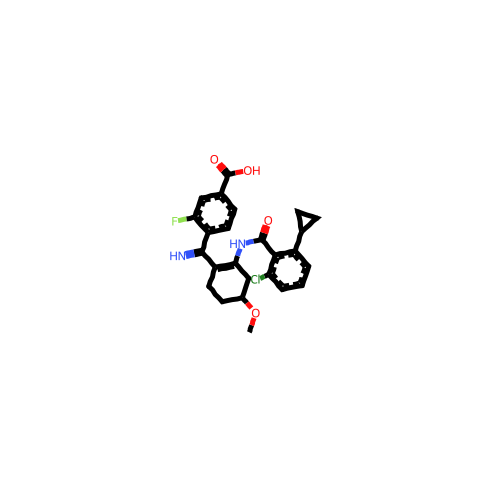 COC1CCC(C(=N)c2ccc(C(=O)O)cc2F)=C(NC(=O)c2c(Cl)cccc2C2CC2)C1